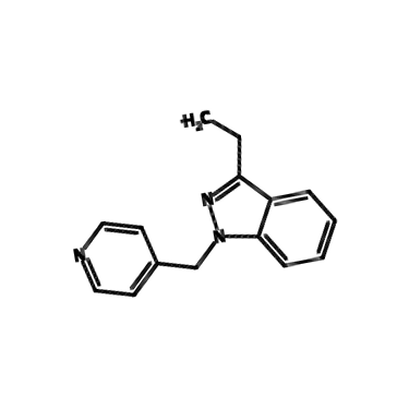 [CH2]Cc1nn(Cc2ccncc2)c2ccccc12